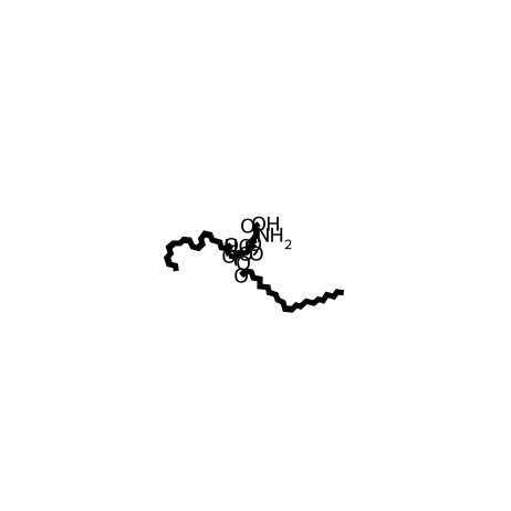 CC/C=C\C/C=C\C/C=C\C/C=C\C/C=C\CCCC(=O)O[C@H](COC(=O)CCCCCCCCC/C=C\CCCCCCCCCC)COP(=O)(O)OC[C@H](N)C(=O)O